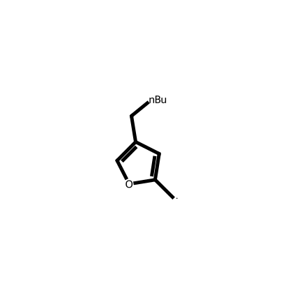 [CH2]c1cc(CCCCC)co1